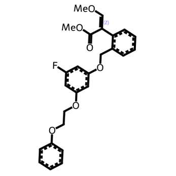 CO/C=C(\C(=O)OC)c1ccccc1COc1cc(F)cc(OCCOc2ccccc2)c1